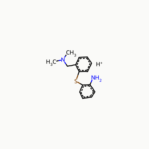 CN(C)Cc1ccccc1Sc1ccccc1N.[H+]